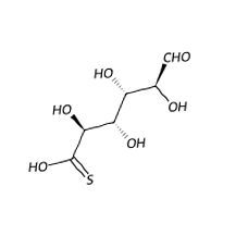 O=C[C@@H](O)[C@@H](O)[C@H](O)[C@H](O)C(O)=S